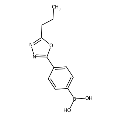 CCCc1nnc(-c2ccc(B(O)O)cc2)o1